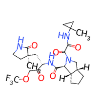 CC1(NC(=O)C(=O)N2C[C@@H]3CCC[C@@H]3[C@H]2C(=O)N[C@@H](C[C@@]2(C)CCNC2=O)C(=O)COC(F)(F)F)CC1